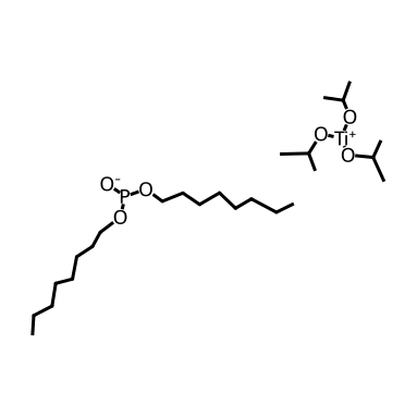 CC(C)[O][Ti+]([O]C(C)C)[O]C(C)C.CCCCCCCCOP([O-])OCCCCCCCC